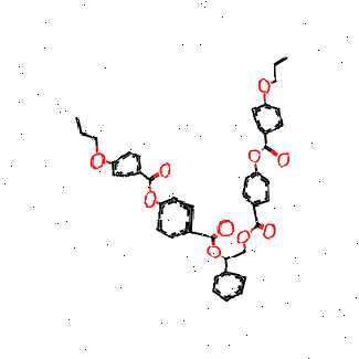 CCCOc1ccc(C(=O)Oc2ccc(C(=O)OCC(OC(=O)c3ccc(OC(=O)c4ccc(OCCC)cc4)cc3)c3ccccc3)cc2)cc1